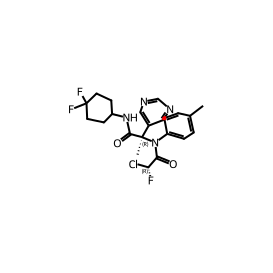 Cc1ccc(N(C(=O)[C@H](F)Cl)[C@@](C)(C(=O)NC2CCC(F)(F)CC2)c2cncnc2)cc1